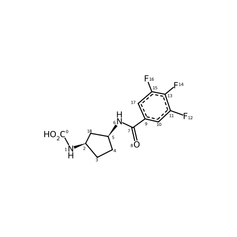 O=C(O)N[C@@H]1CC[C@H](NC(=O)c2cc(F)c(F)c(F)c2)C1